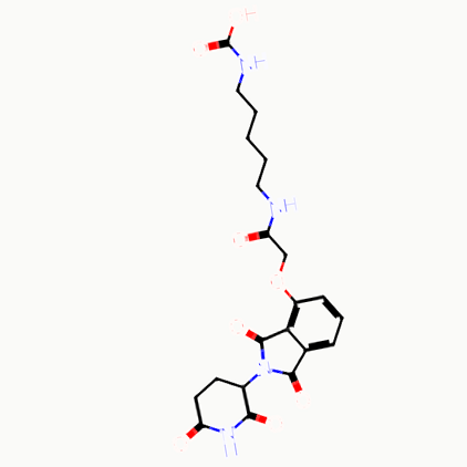 O=C(O)NCCCCCNC(=O)COc1cccc2c1C(=O)N(C1CCC(=O)NC1=O)C2=O